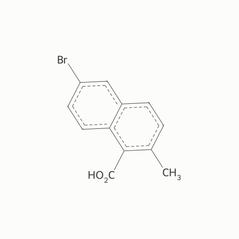 Cc1ccc2cc(Br)ccc2c1C(=O)O